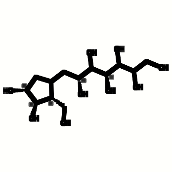 OCC(O)C(O)[C@@H](O)C(O)[C@H](O)CC1C[C@@H](O)[C@H](O)[C@H]1CO